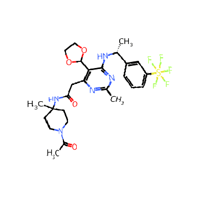 CC(=O)N1CCC(C)(NC(=O)Cc2nc(C)nc(N[C@H](C)c3cccc(S(F)(F)(F)(F)F)c3)c2C2OCCO2)CC1